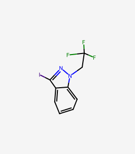 FC(F)(F)Cn1nc(I)c2ccccc21